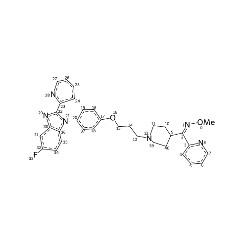 CON=C(c1ccccn1)C1CCN(CCCOc2ccc(-n3c(-c4ccccn4)nc4cc(F)ccc43)cc2)CC1